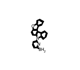 Bc1cccc(-n2c3ccccc3c3c4c(ccc32)oc2ccccc24)n1